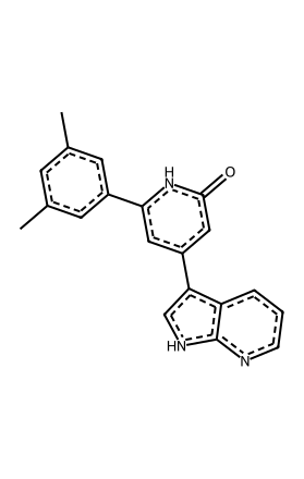 Cc1cc(C)cc(-c2cc(-c3c[nH]c4ncccc34)cc(=O)[nH]2)c1